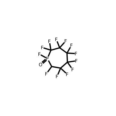 O=P1(F)C(F)C(F)(F)C(F)(F)C(F)(F)C(F)(F)C1(F)F